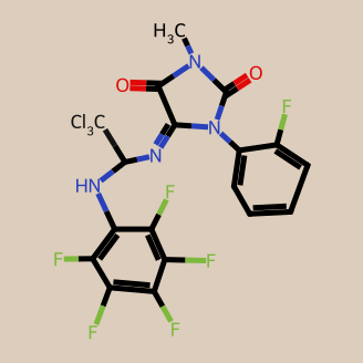 CN1C(=O)C(=NC(Nc2c(F)c(F)c(F)c(F)c2F)C(Cl)(Cl)Cl)N(c2ccccc2F)C1=O